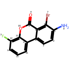 Nc1ccc2c(c1Br)c(=O)oc1c(F)cccc12